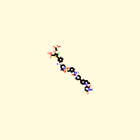 CC1Cc2cc(C3CCN(C(=O)Nc4cccc(CS(=O)(=O)N5CC[C@H](Nc6cccc(-c7sc(C(=O)O)c(OCC(=O)O)c7Cl)c6)CC5(C)C)c4)CC3)ccc2N1C1CCC(=O)NC1=O